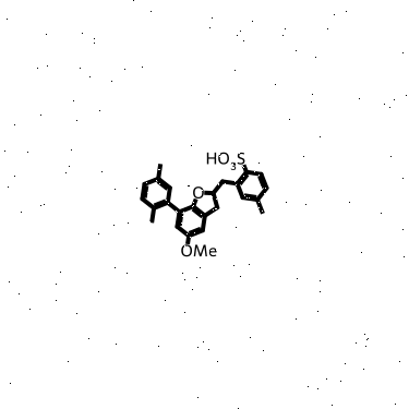 COc1cc2c(c(-c3cc(C)ccc3C)c1)OC(Cc1cc(C)ccc1S(=O)(=O)O)C2